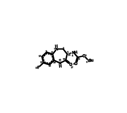 CC(C)(C)OC(=O)N[C@H]1CNc2ccc(F)cc2NC1=O